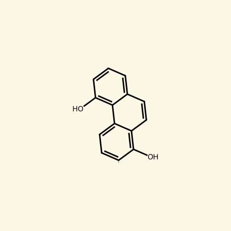 Oc1[c]ccc2c1ccc1cccc(O)c12